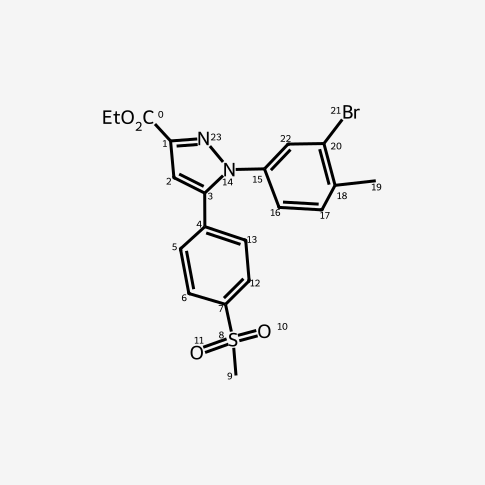 CCOC(=O)c1cc(-c2ccc(S(C)(=O)=O)cc2)n(-c2ccc(C)c(Br)c2)n1